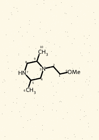 COCCN1CC(C)NCC1C